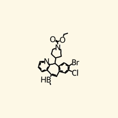 CBC1=Cc2cc(Cl)c(Br)cc2C(C2CCN(C(=O)OCC)CC2)c2ncccc21